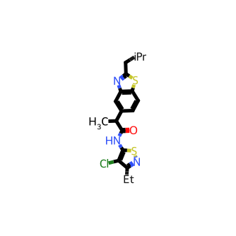 CCc1nsc(NC(=O)C(C)c2ccc3sc(CC(C)C)nc3c2)c1Cl